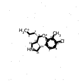 CCC[C@H](Oc1cccc(Cl)c1C)[C@@H]1CCNC1